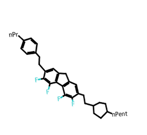 CCCCCC1CCC(CCc2cc3c(c(F)c2F)-c2c(cc(CCc4ccc(CCC)cc4)c(F)c2F)C3)CC1